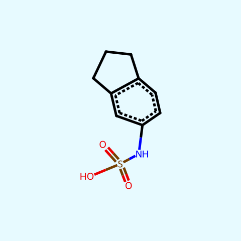 O=S(=O)(O)Nc1ccc2c(c1)CCC2